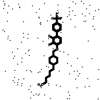 CCCCCCC1CCC(COc2ccc(-c3ccc(C(F)(F)F)cc3)c(F)c2F)CC1